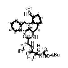 CCNc1cccc2c1N(Cc1ccccn1)C(=O)C(NC(=O)[C@@H](CC(C)C)NC(=O)C(C)(C)NC(=O)OC(C)(C)C)C2